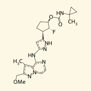 COCc1nn2ccnc(Nc3cc([C@H]4CC[C@@H](OC(=O)NC5(C)CC5)[C@@H]4F)[nH]n3)c2c1C